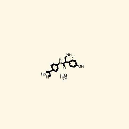 NCC(C(=O)Nc1ccc(-c2cn[nH]c2)cc1)c1ccc(O)cc1.O.O